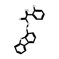 C=C(C(=O)OSc1cccc2c1sc1ccccc12)c1ccccc1CC